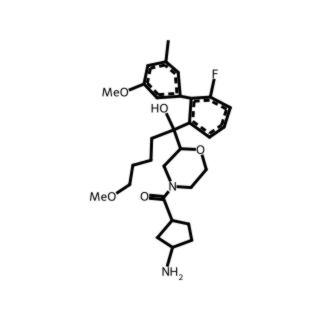 COCCCCC(O)(c1cccc(F)c1-c1cc(C)cc(OC)c1)C1CN(C(=O)C2CCC(N)C2)CCO1